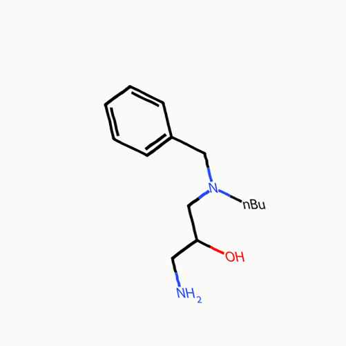 CCCCN(Cc1ccccc1)CC(O)CN